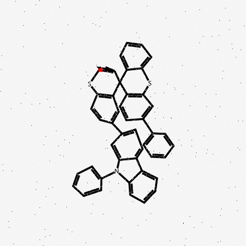 c1ccc(-c2ccc3c(c2)Sc2ccccc2C32c3ccccc3Sc3ccc(-c4ccc5c6ccccc6n(-c6ccccc6)c5c4)cc32)cc1